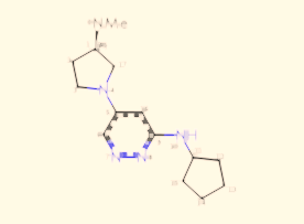 CN[C@@H]1CCN(c2cnnc(NC3CCCC3)c2)C1